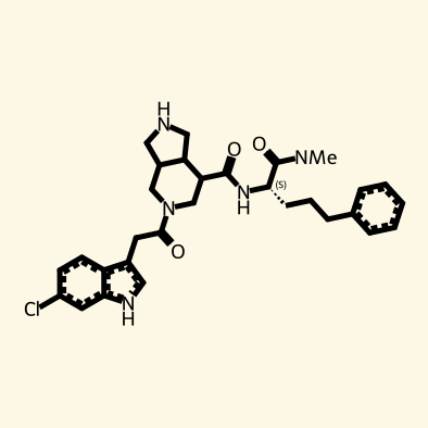 CNC(=O)[C@H](CCCc1ccccc1)NC(=O)C1CN(C(=O)Cc2c[nH]c3cc(Cl)ccc23)CC2CNCC21